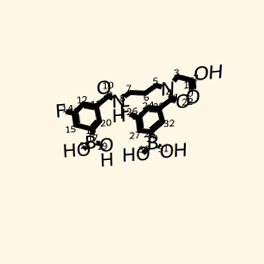 O=C(O)CN(CCCNC(=O)c1cc(F)cc(B(O)O)c1)C(=O)c1cc(F)cc(B(O)O)c1